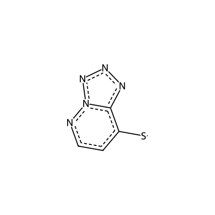 [S]c1ccnn2nnnc12